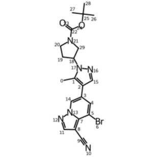 Cc1c(-c2cc(Br)c3c(C#N)cnn3c2)cnn1C1CCN(C(=O)OC(C)(C)C)C1